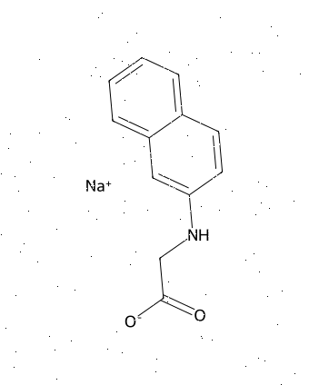 O=C([O-])CNc1ccc2ccccc2c1.[Na+]